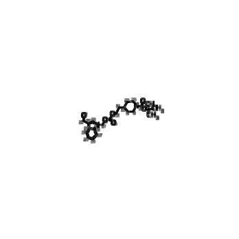 CC(C)(C)OC(=O)N1CCC(CCOC(=O)OCn2cc(C=O)c3ccccc32)CC1